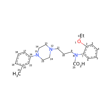 CCOc1ccccc1N(CCCN1CCN(c2cccc(C)c2)CC1)C(=O)O